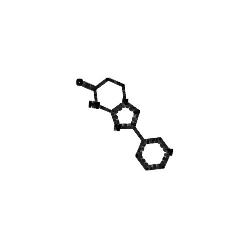 O=C1CCn2cc(-c3cccnc3)nc2N1